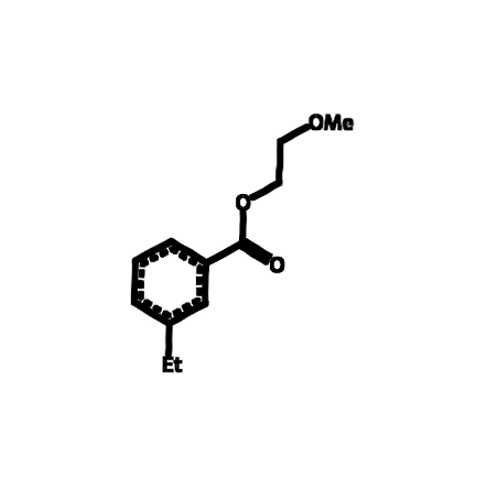 CCc1cccc(C(=O)OCCOC)c1